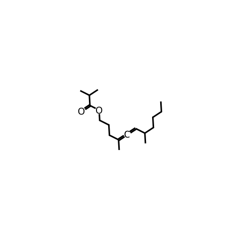 CCCCC(C)C=C=C(C)CCCOC(=O)C(C)C